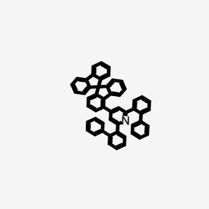 c1ccc(-c2ccccc2-c2cc(-c3cccc4c3-c3ccccc3C43c4ccccc4-c4ccccc43)cc(-c3ccccc3-c3ccccc3)n2)cc1